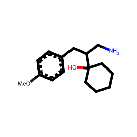 COc1ccc(CC(CN)C2(O)CCCCC2)cc1